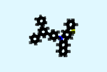 c1ccc(-c2cc(-c3ccccc3)cc(-c3ccc(-n4c5cc6ccccc6cc5c5cc6sc7ccccc7c6cc54)cc3)c2)cc1